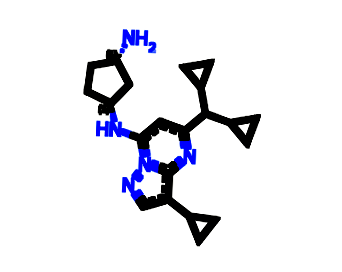 N[C@H]1CC[C@H](Nc2cc(C(C3CC3)C3CC3)nc3c(C4CC4)cnn23)C1